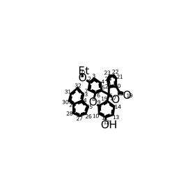 CCOc1ccc2c(c1)Oc1cc(O)ccc1C21OC(=O)c2ccccc21.c1ccc2ccccc2c1